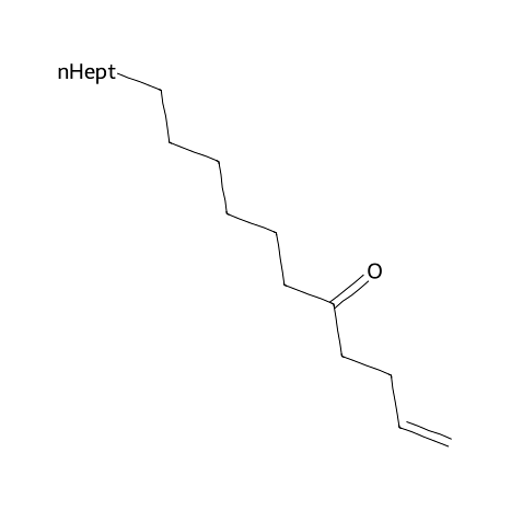 C=CCCC(=O)CCCCCCCCCCCCC